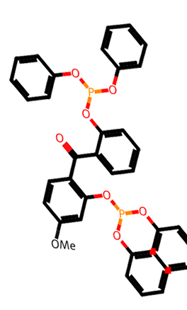 COc1ccc(C(=O)c2ccccc2OP(Oc2ccccc2)Oc2ccccc2)c(OP(Oc2ccccc2)Oc2ccccc2)c1